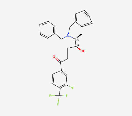 C[C@@H]([C@@H](O)CCC(=O)c1ccc(C(F)(F)F)c(F)c1)N(Cc1ccccc1)Cc1ccccc1